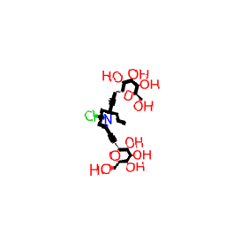 CCCC1(C#CC[C@H]2O[C@H](CO)[C@@H](O)[C@H](O)[C@@H]2O)CC2(Cl)CC(C#C[C@H]3O[C@H](CO)[C@@H](O)[C@H](O)[C@@H]3O)N21